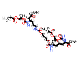 C=CC(=O)OCC(C)OC(=O)NC(CCCNC(=O)OCCCCOC(=O)NCCCCC(NC(=O)OC(C)COC(=O)C=C)C(=O)OC)CC(=O)OC